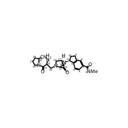 CNC(=O)c1ccc2c(c1)CC[C@@H]2N1C(=O)C2C[C@H]1CN2CC(N)C(=O)N1CCCC1C#N